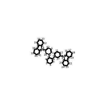 C1=CC(c2ccccc2-c2cccc(-n3c4ccccc4c4ccccc43)c2)CC(n2c3ccccc3c3ccccc32)=C1